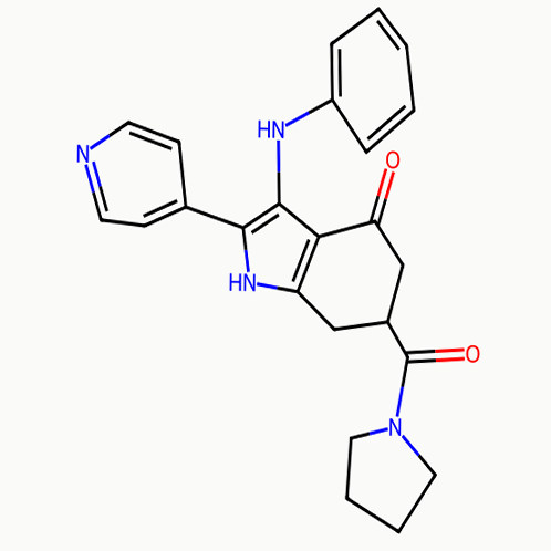 O=C1CC(C(=O)N2CCCC2)Cc2[nH]c(-c3ccncc3)c(Nc3ccccc3)c21